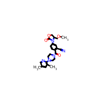 COCC1COC(=O)N1c1ccc(C(=O)N2CCN(c3ncc(C)cc3C)CC2)c(C#N)c1